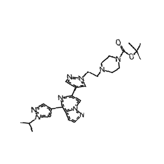 CC(C)n1cc(-c2nc(-c3cnn(CCN4CCN(C(=O)OC(C)(C)C)CC4)c3)cn3nccc23)cn1